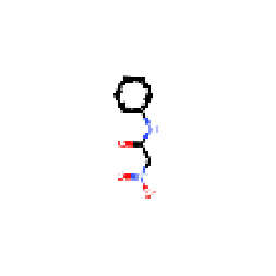 O=C(C[N+](=O)[O-])Nc1ccccc1